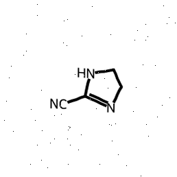 N#CC1=NCCN1